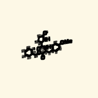 COc1ccc(C[C@H](NC(=O)[C@H]2CCC(=O)N2)C(=O)OCc2ccccc2)cc1